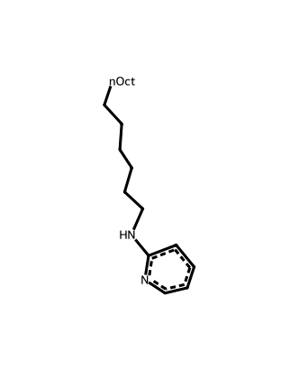 CCCCCCCCCCCCCCNc1ccccn1